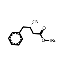 CC(C)(C)OC(=O)C[C@@H](C#N)Cc1ccccc1